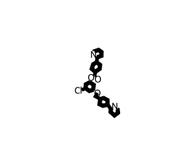 O=C(Oc1cc(Cl)cc(OCc2ccc(-c3ccccn3)cc2)c1)c1ccc(-c2ccccn2)cc1